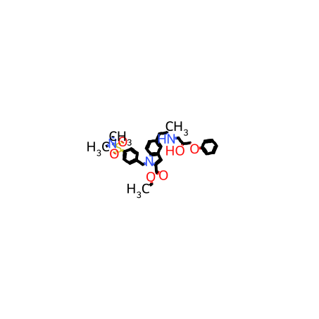 CCOC(=O)c1cc2cc(CC(C)NCC(O)COc3ccccc3)ccc2n1Cc1ccc(S(=O)(=O)N(C)C)cc1